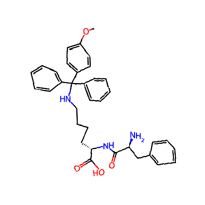 COc1ccc(C(NCCCC[C@H](NC(=O)[C@@H](N)Cc2ccccc2)C(=O)O)(c2ccccc2)c2ccccc2)cc1